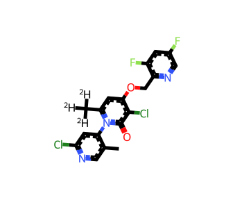 [2H]C([2H])([2H])c1cc(OCc2ncc(F)cc2F)c(Cl)c(=O)n1-c1cc(Cl)ncc1C